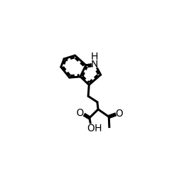 CC(=O)C(CCc1c[nH]c2ccccc12)C(=O)O